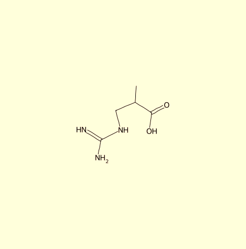 CC(CNC(=N)N)C(=O)O